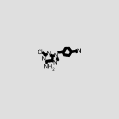 N#Cc1ccc(Cn2cnc3c(N)nc(Cl)nc32)cc1